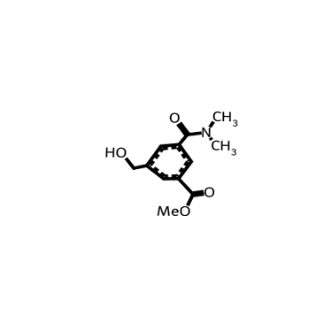 COC(=O)c1cc(CO)cc(C(=O)N(C)C)c1